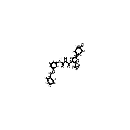 O=C(NC(=S)Nc1cccc(OCc2ccccc2)c1)c1cc(-c2ccc(Cl)cc2)oc1C(F)(F)F